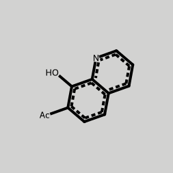 CC(=O)c1ccc2cccnc2c1O